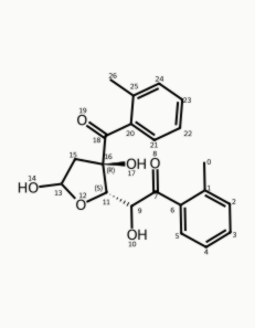 Cc1ccccc1C(=O)C(O)[C@@H]1OC(O)C[C@]1(O)C(=O)c1ccccc1C